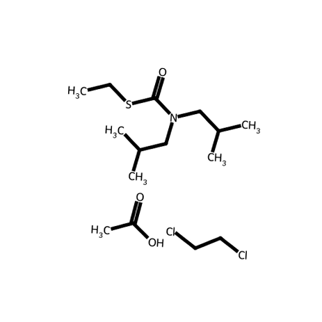 CC(=O)O.CCSC(=O)N(CC(C)C)CC(C)C.ClCCCl